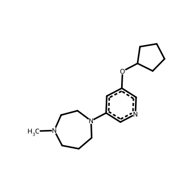 CN1CCCN(c2cncc(OC3CCCC3)c2)CC1